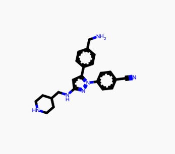 N#Cc1ccc(-n2nc(NCC3CCNCC3)cc2-c2ccc(CN)cc2)cc1